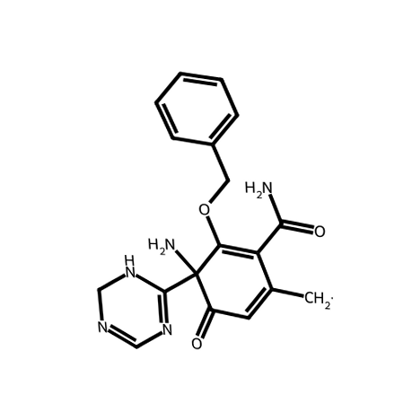 [CH2]C1=CC(=O)C(N)(C2=NC=NCN2)C(OCc2ccccc2)=C1C(N)=O